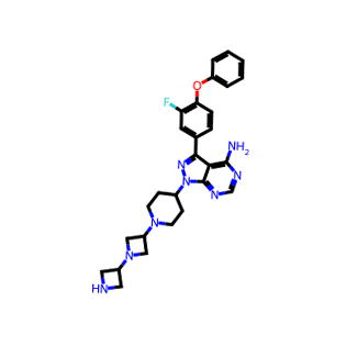 Nc1ncnc2c1c(-c1ccc(Oc3ccccc3)c(F)c1)nn2C1CCN(C2CN(C3CNC3)C2)CC1